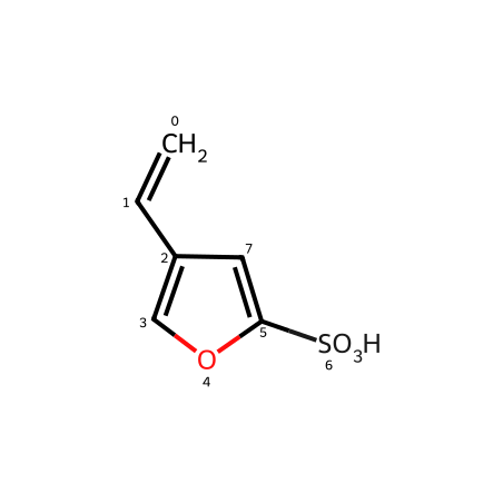 C=Cc1coc(S(=O)(=O)O)c1